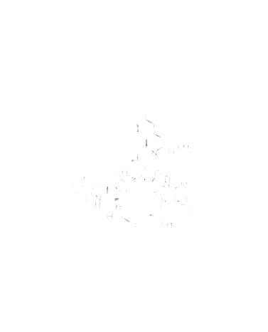 CC[C@@H]1C[C@H](C)CCC=C[C@@H]2C[C@@]2(C(=O)NS(=O)(=O)C2(C)CC2)NC(=O)[C@@H]2C[C@@H](Oc3nc(OC)cc4cc(F)ccc34)CN2C(=O)[C@H]1NC(=O)O